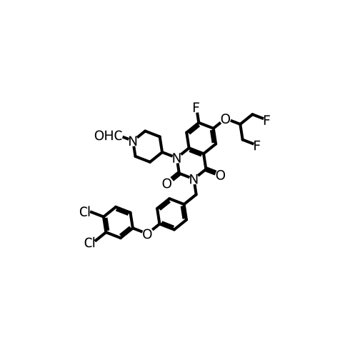 O=CN1CCC(n2c(=O)n(Cc3ccc(Oc4ccc(Cl)c(Cl)c4)cc3)c(=O)c3cc(OC(CF)CF)c(F)cc32)CC1